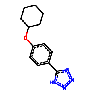 c1cc(-c2nnn[nH]2)ccc1OC1CCCCC1